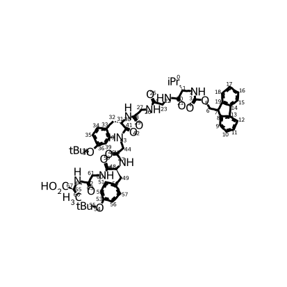 CC(C)[C@H](NC(=O)OCC1c2ccccc2-c2ccccc21)C(=O)NCC(=O)NCC(=O)N[C@@H](Cc1ccc(OC(C)(C)C)cc1)C(=O)NCC(=O)N[C@@H](Cc1ccc(OC(C)(C)C)cc1)C(=O)NCC(=O)N[C@@H](C)C(=O)O